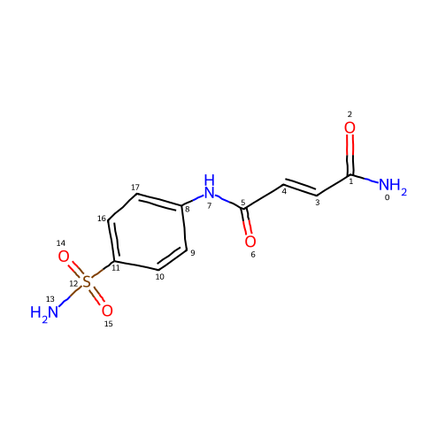 NC(=O)C=CC(=O)Nc1ccc(S(N)(=O)=O)cc1